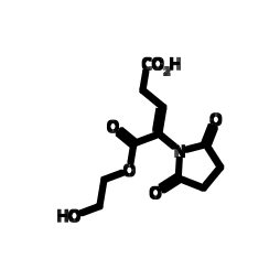 O=C(O)CC=C(C(=O)OCCO)N1C(=O)CCC1=O